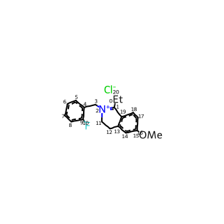 CCC1=[N+](Cc2ccccc2F)CCc2cc(OC)ccc21.[Cl-]